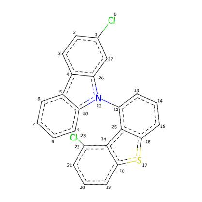 Clc1ccc2c3ccccc3n(-c3cccc4sc5cccc(Cl)c5c34)c2c1